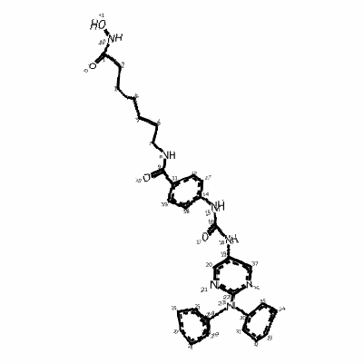 O=C(CCCCCCNC(=O)c1ccc(NC(=O)Nc2cnc(N(c3ccccc3)c3ccccc3)nc2)cc1)NO